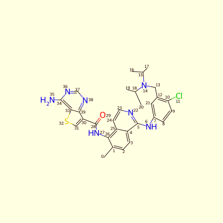 Cc1ccc2c(Nc3ccc(Cl)c(CN(C(C)C)C(C)C)c3)nccc2c1NC(=O)c1csc2c(N)ncnc12